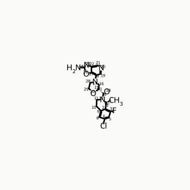 C[C@H]1c2c(F)cc(Cl)cc2CCN1C(=O)[C@H]1CN(c2cncc3nc(N)oc23)CCO1